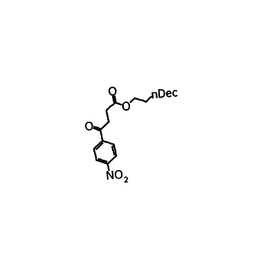 CCCCCCCCCCCCOC(=O)CCC(=O)c1ccc([N+](=O)[O-])cc1